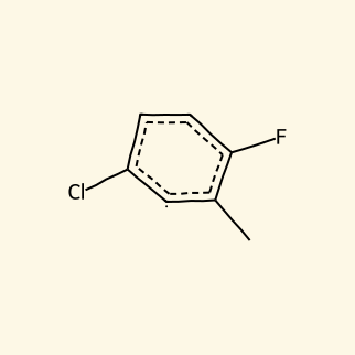 Cc1[c]c(Cl)ccc1F